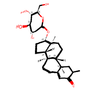 CC1C[C@@]2(C)C(=CC1=O)CC[C@H]1[C@@H]3CC[C@H](OC4O[C@H](CO)[C@@H](O)[C@H](O)[C@H]4O)[C@@]3(C)CC[C@@H]12